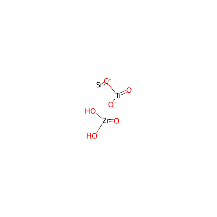 [O]=[Ti]([O-])[O-].[O]=[Zr]([OH])[OH].[Sr+2]